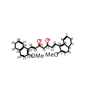 COC1=CCC2CCC=CC2=C1/C=C/C(=O)CC(=O)/C=C/c1c(OC)ccc2c1C=CCC2